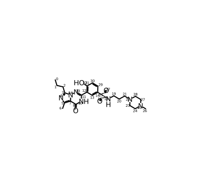 CCCc1nc(C)c2c(=O)[nH]c(-c3cc(S(=O)(=O)NCCCN4CCN(C)CC4)ccc3O)nn12